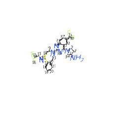 N[C@@H]1CCN(c2nc(N3CCS(=NCC(F)F)c4ccccc4C3)nc3ccc(C(F)F)cc23)C1